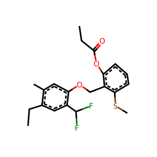 CCC(=O)Oc1cccc(SC)c1COc1cc(C)c(CC)cc1C(F)F